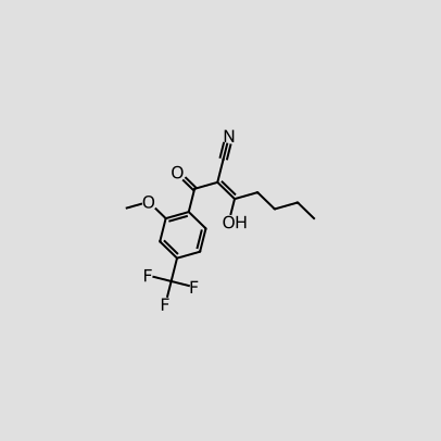 CCCCC(O)=C(C#N)C(=O)c1ccc(C(F)(F)F)cc1OC